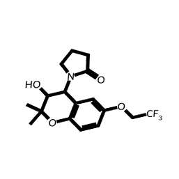 CC1(C)Oc2ccc(OCC(F)(F)F)cc2C(N2CCCC2=O)C1O